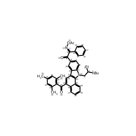 CCCCC(CC)Cn1c2ccc(C(=O)/C(=N/OC(C)=O)c3ccccc3)cc2c2cc(C(=O)c3c(C)cc(C)cc3C)c3ccccc3c21